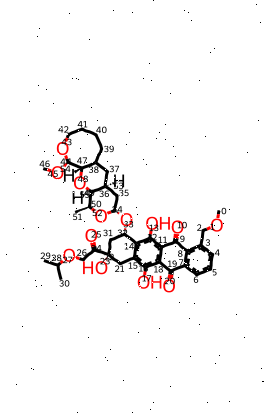 COCc1cccc2c1C(=O)c1c(O)c3c(c(O)c1C2=O)C[C@@](O)(C(=O)COC(C)C)C[C@@H]3O[C@H]1C[C@@H]2CC3CCCCO[C@H](OC)[C@H]3O[C@@H]2[C@H](C)O1